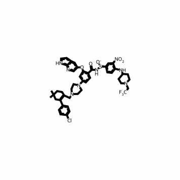 CC1(C)CCC(CN2CCN(c3ccc(C(=O)N[S+]([O-])c4ccc(NC5CCN(CC(F)(F)F)CC5)c([N+](=O)[O-])c4)c(Oc4cnc5[nH]ccc5c4)c3)CC2)=C(c2ccc(Cl)cc2)C1